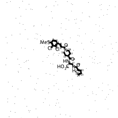 CSc1ccc(/C=C/C(=O)N2CCC(C(=O)N[C@@H](CNC(=O)c3cccs3)C(=O)O)CC2)c(Cl)c1Cl